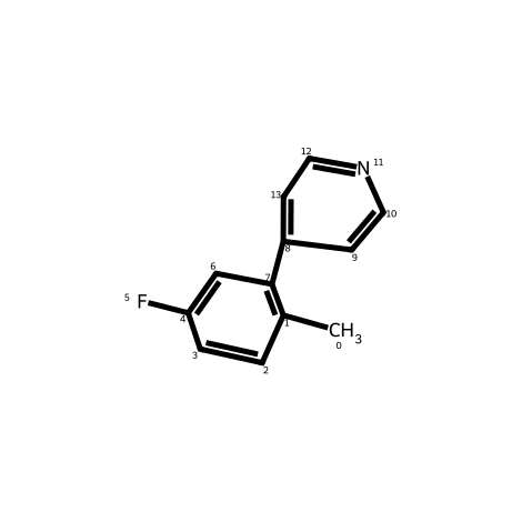 Cc1ccc(F)cc1-c1ccncc1